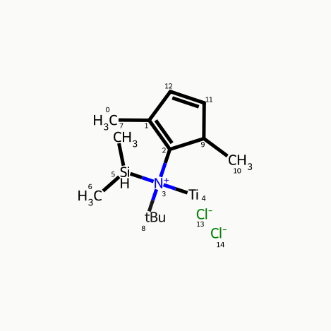 CC1=C([N+]([Ti])([SiH](C)C)C(C)(C)C)C(C)C=C1.[Cl-].[Cl-]